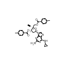 C#C[C@]1(COC(=O)c2ccc(C)cc2)O[C@@H](n2cnc3c(NC4CC4)nc(N)nc32)C[C@@H]1OC(=O)c1ccc(C)cc1